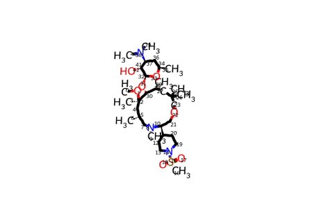 CO[C@]1(C)C[C@@H](C)CN(C)[C@H](C2CCN(S(C)(=O)=O)CC2)COCC(C)(C)C[C@@H](C)[C@H]1O[C@@H]1O[C@H](C)C[C@H](N(C)C)[C@H]1O